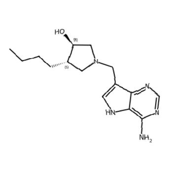 CCCC[C@H]1CN(Cc2c[nH]c3c(N)ncnc23)C[C@@H]1O